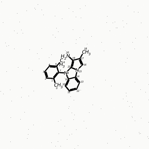 Cc1cccc(C)c1-n1c2ccccc2n2cc(C)c(N)c12